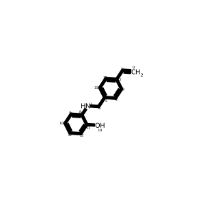 C=Cc1ccc(CNc2ccccc2O)cc1